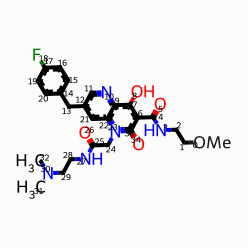 COCCNC(=O)c1c(O)c2ncc(Cc3ccc(F)cc3)cc2n(CC(=O)NCCN(C)C)c1=O